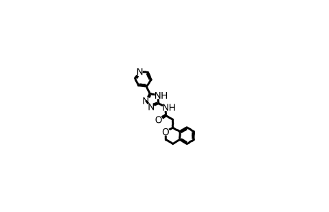 O=C(CC1OCCc2ccccc21)Nc1nnc(-c2ccncc2)[nH]1